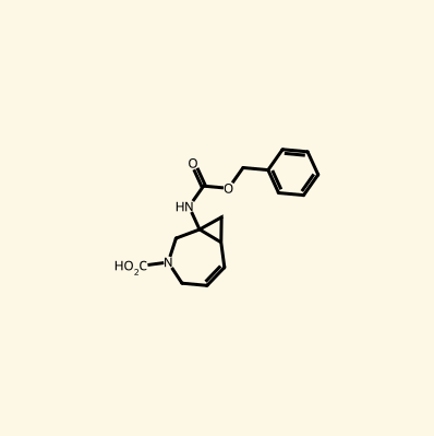 O=C(NC12CC1C=CCN(C(=O)O)C2)OCc1ccccc1